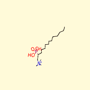 CCCCCCCCCCCCC(C[N+](C)(C)C)P(=O)(O)O